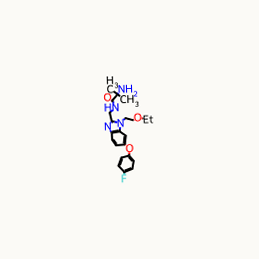 CCOCCn1c(CNC(=O)C(C)(C)N)nc2ccc(Oc3ccc(F)cc3)cc21